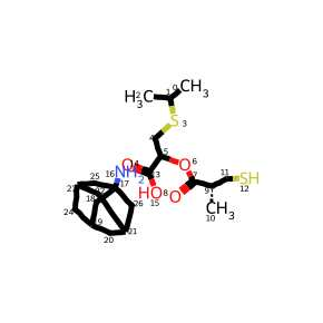 CC(C)SCC(OC(=O)[C@@H](C)CS)C(=O)O.NC12CC3CC(CC(C3)C1)C2